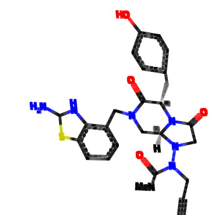 C#CCN(C(=O)NC)N1CC(=O)N2[C@@H](Cc3ccc(O)cc3)C(=O)N(Cc3cccc4c3NC(N)S4)C[C@@H]21